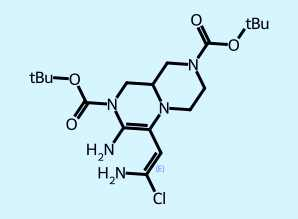 CC(C)(C)OC(=O)N1CCN2C(/C=C(\N)Cl)=C(N)N(C(=O)OC(C)(C)C)CC2C1